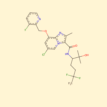 Cc1nc2c(OCc3ncccc3F)cc(Cl)cn2c1C(=O)NC(CCC(F)(F)C(F)(F)F)C(C)(C)O